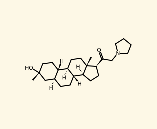 C[C@@]1(O)CC[C@H]2[C@@H](CC[C@@H]3[C@@H]2CC[C@]2(C)[C@@H](C(=O)CN4CCCC4)CC[C@@H]32)C1